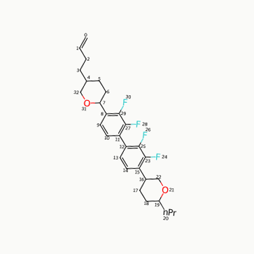 C=CCCC1CCC(c2ccc(-c3ccc(C4CCC(CCC)OC4)c(F)c3F)c(F)c2F)OC1